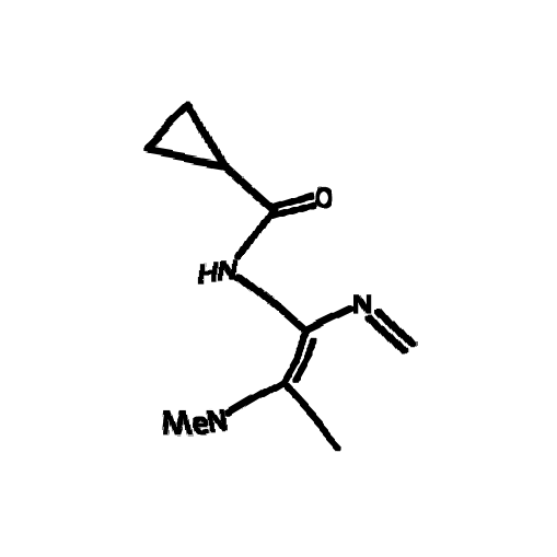 C=N/C(NC(=O)C1CC1)=C(\C)NC